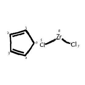 [CH]1C=CC=C1.[Cl][Zr][Cl]